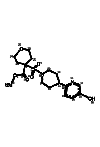 CC(C)(C)OC(=O)C1(S(=O)(=O)N2CCC(c3ccc(O)cn3)CC2)CCOCC1